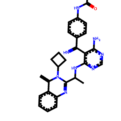 C=C1c2ccccc2N=C(C(C)Nc2ncnc(N)c2C(=N)c2ccc(NC(C)=O)cc2)N1C1CCC1